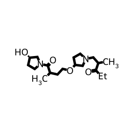 CCC(=O)C(C)CN1CCC(OCCC(C)C(=O)N2CC[C@@H](O)C2)C1